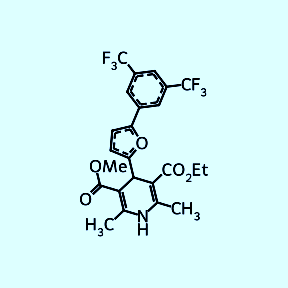 CCOC(=O)C1=C(C)NC(C)=C(C(=O)OC)C1c1ccc(-c2cc(C(F)(F)F)cc(C(F)(F)F)c2)o1